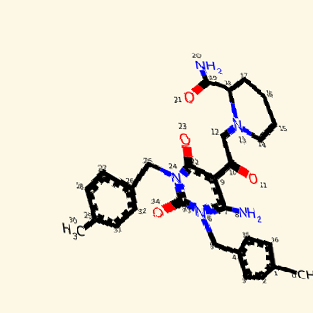 Cc1ccc(Cn2c(N)c(C(=O)CN3CCCCC3C(N)=O)c(=O)n(Cc3ccc(C)cc3)c2=O)cc1